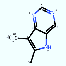 Cc1[nH]c2cncnc2c1C(=O)O